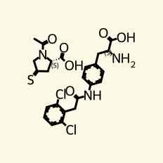 CC(=O)N1CC(=S)C[C@H]1C(=O)O.N[C@@H](Cc1ccc(NC(=O)Cc2c(Cl)cccc2Cl)cc1)C(=O)O